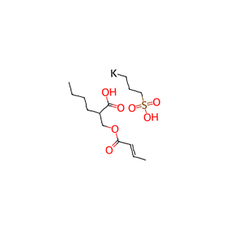 CC=CC(=O)OCC(CCCC)C(=O)O.O=S(=O)(O)CC[CH2][K]